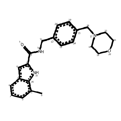 Cc1cccc2cc(C(=O)NCc3ccc(CN4CCOCC4)cc3)[nH]c12